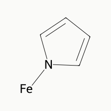 [Fe][n]1cccc1